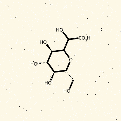 O=C(O)C(O)C1O[C@H](CO)[C@@H](O)[C@H](O)[C@H]1O